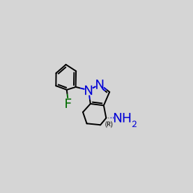 N[C@@H]1CCCc2c1cnn2-c1ccccc1F